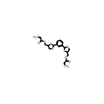 C=CC(=O)OCC1CSC(c2cccc(C3SCC(COC(=O)C=C)S3)c2)S1